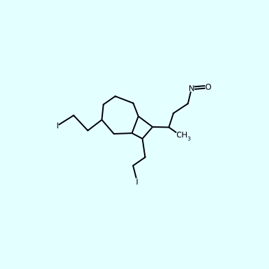 CC(CCN=O)C1C(CCI)C2CC(CCI)CCCC21